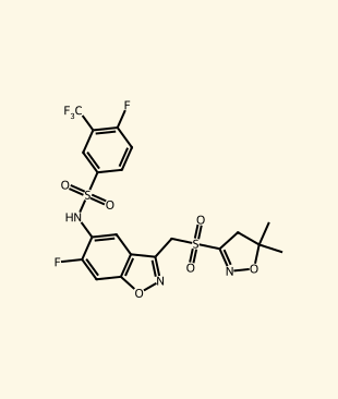 CC1(C)CC(S(=O)(=O)Cc2noc3cc(F)c(NS(=O)(=O)c4ccc(F)c(C(F)(F)F)c4)cc23)=NO1